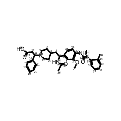 COc1cc(C(CC2CCN(C(CC(=O)O)c3ccccc3)CC2)NC(C)=O)ccc1NC(=O)Nc1ccccc1C